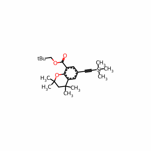 CC(C)(C)COC(=O)c1cc(C#C[Si](C)(C)C)cc2c1OC(C)(C)CC2(C)C